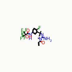 C=CC(=O)N(C)/C(N)=N\C(C)(C)c1cc(NC(=O)C(O)(C(F)(F)F)C(F)(F)F)ccc1F